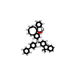 CC1(C)c2ccccc2-c2ccc(N(c3ccc(-c4ccccc4)cc3)c3ccc4c(c3)C/C=C\C=C/CC43c4ccccc4Oc4ccccc43)cc21